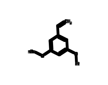 C=Cc1cc(OCC)cc(OCCCC)c1